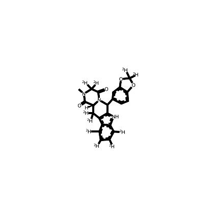 [2H]c1c([2H])c([2H])c2c3c([nH]c2c1[2H])C(c1ccc2c(c1)OC([2H])([2H])O2)N1C(=O)C([2H])([2H])N(C)C(=O)[C@H]1C3([2H])[2H]